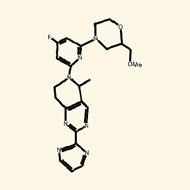 COCC1CN(c2cc(F)cc(N3CCc4nc(-c5ncccn5)ncc4C3C)n2)CCO1